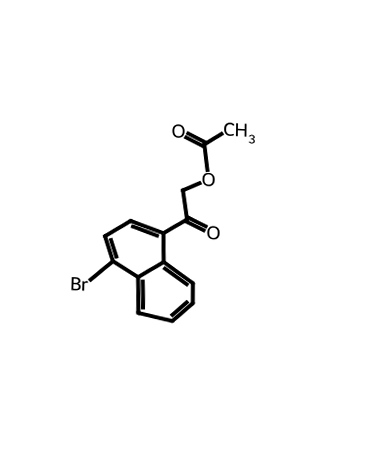 CC(=O)OCC(=O)c1ccc(Br)c2ccccc12